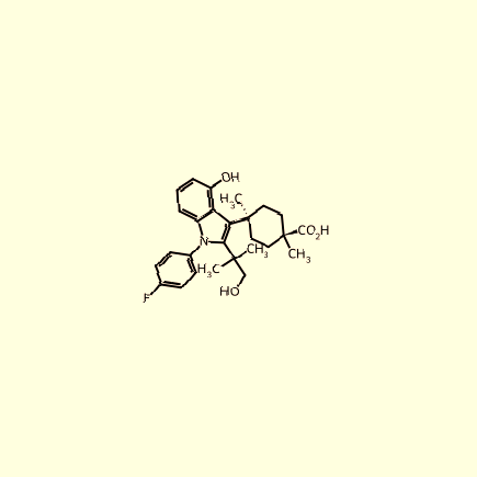 CC(C)(CO)c1c([C@]2(C)CC[C@](C)(C(=O)O)CC2)c2c(O)cccc2n1-c1ccc(F)cc1